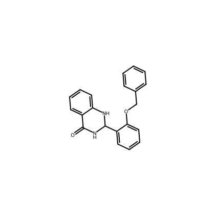 O=C1NC(c2ccccc2OCc2ccccc2)Nc2ccccc21